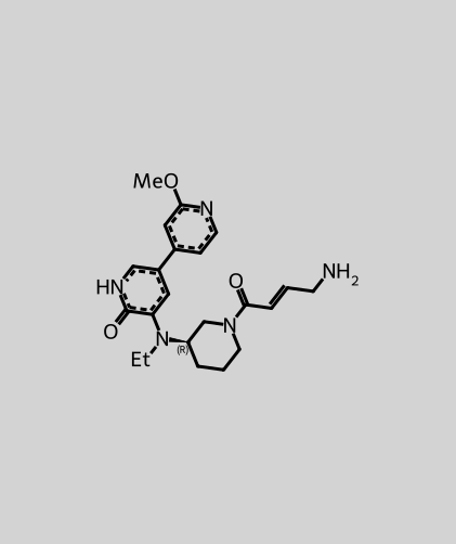 CCN(c1cc(-c2ccnc(OC)c2)c[nH]c1=O)[C@@H]1CCCN(C(=O)C=CCN)C1